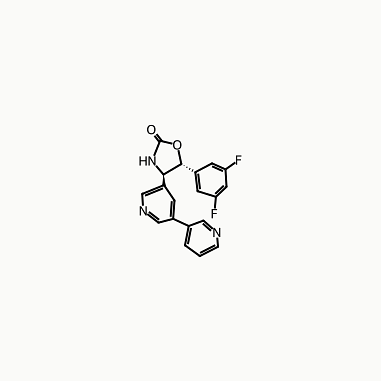 O=C1N[C@H](c2cncc(-c3cccnc3)c2)[C@@H](c2cc(F)cc(F)c2)O1